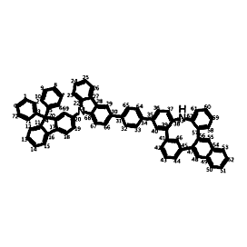 c1ccc(C2(c3ccccc3)c3ccccc3-c3ccc(-n4c5ccccc5c5cc(-c6ccc(-c7ccc8c(c7)-c7cccc(c7)-c7cc9ccccc9cc7-c7ccccc7N8)cc6)ccc54)cc32)cc1